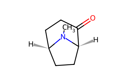 CN1[C@@H]2CCC(=O)[C@H]1CC2